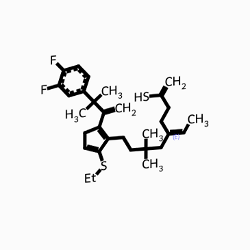 C=C(S)CC/C(=C\C)CC(C)(C)CCC1=C(C(=C)C(C)(C)c2ccc(F)c(F)c2)CC=C1SCC